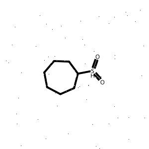 O=[SH](=O)C1CCCCCC1